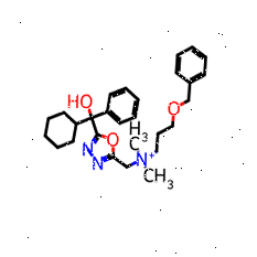 C[N+](C)(CCCOCc1ccccc1)Cc1nnc(C(O)(c2ccccc2)C2CCCCC2)o1